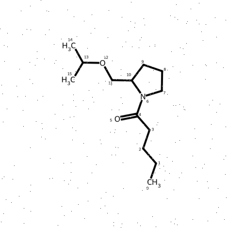 CCCCC(=O)N1CCCC1COC(C)C